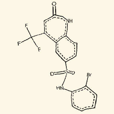 O=c1cc(C(F)(F)F)c2cc(S(=O)(=O)Nc3ccccc3Br)ccc2[nH]1